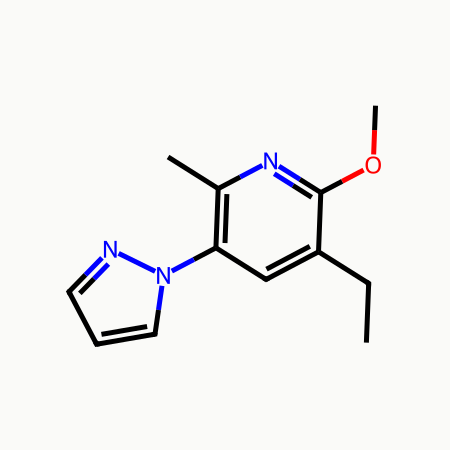 CCc1cc(-n2cccn2)c(C)nc1OC